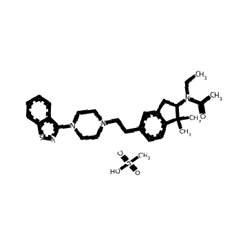 CCN(C(C)=O)C1Cc2cc(CCN3CCN(c4nsc5ccccc45)CC3)ccc2C1(C)C.CS(=O)(=O)O